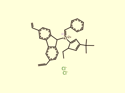 C=Cc1ccc2c(c1)-c1cc(C=C)ccc1[CH]2/[Zr+2](=[CH]/c1ccccc1)[C]1=CC(C(C)(C)C)=CC1CC.[Cl-].[Cl-]